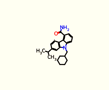 CC(C)c1c[c]c2c3c(C(N)=O)cccc3n(CC3CCCCC3)c2c1